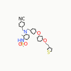 [C-]#[N+]c1ccc(CN(Cc2ccc(Oc3cccc(OCCc4ccsc4)c3)cc2)c2cccc(NS(C)(=O)=O)c2C)cc1